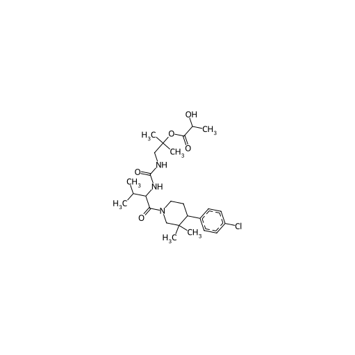 CC(O)C(=O)OC(C)(C)CNC(=O)NC(C(=O)N1CCC(c2ccc(Cl)cc2)C(C)(C)C1)C(C)C